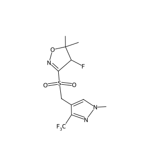 Cn1cc(CS(=O)(=O)C2=NOC(C)(C)C2F)c(C(F)(F)F)n1